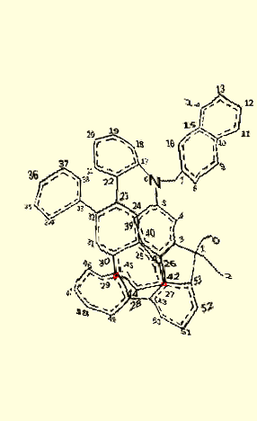 CC1(C)c2cc(N(c3ccc4ccccc4c3)c3ccccc3-c3cc4ccccc4cc3-c3ccccc3)ccc2-c2c(-c3ccccc3)cccc21